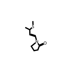 CSC(C)C=CN1CCCC1=O